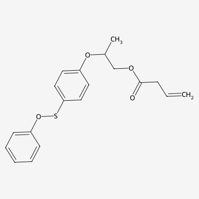 C=CCC(=O)OCC(C)Oc1ccc(SOc2ccccc2)cc1